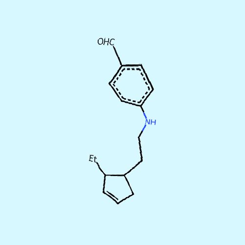 CCC1C=CCC1CCNc1ccc(C=O)cc1